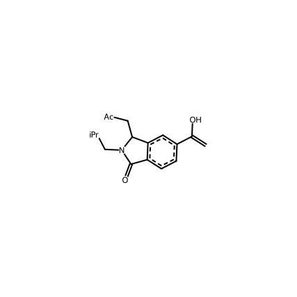 C=C(O)c1ccc2c(c1)C(CC(C)=O)N(CC(C)C)C2=O